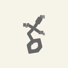 C#C[Si](C)(C)Cc1ccccc1